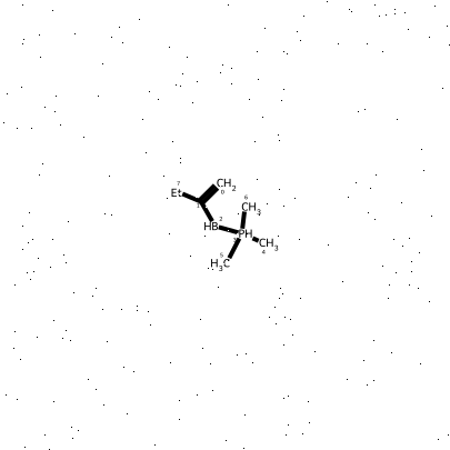 C=C(B[PH](C)(C)C)CC